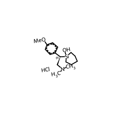 COc1ccc([C@H](CN(C)C)[Si]2(O)CCCCC2)cc1.Cl